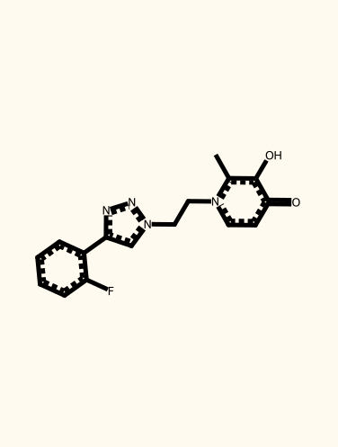 Cc1c(O)c(=O)ccn1CCn1cc(-c2ccccc2F)nn1